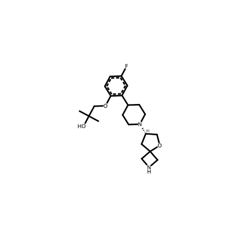 CC(C)(O)COc1ccc(F)cc1C1CCN([C@@H]2COC3(CNC3)C2)CC1